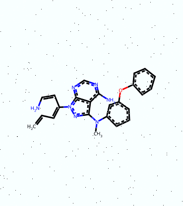 C=C/C=C(\C=C/N)n1nc(N(C)c2cccc(Oc3ccccc3)c2)c2c(N)ncnc21